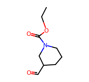 CCOC(=O)N1CCCC(C=O)C1